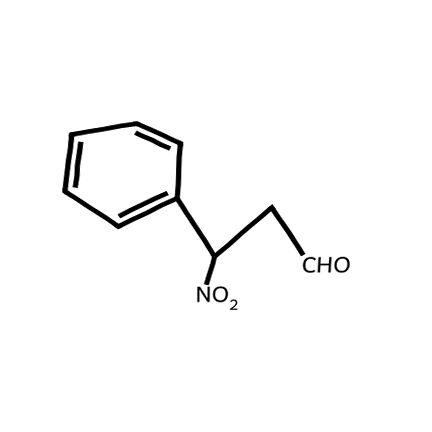 O=CCC(c1ccccc1)[N+](=O)[O-]